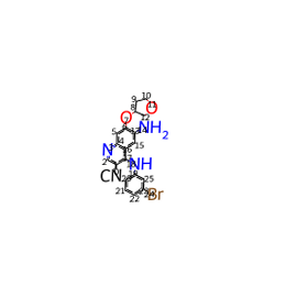 N#Cc1cnc2cc(OC3CCOC3)c(N)cc2c1Nc1cccc(Br)c1